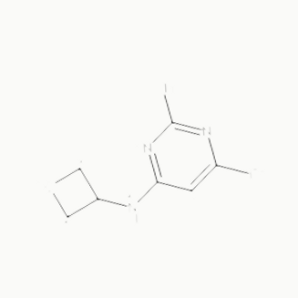 CC(C)c1cc(NC2COC2)nc(C(C)C)n1